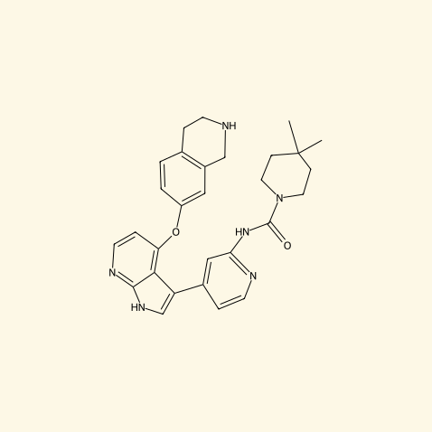 CC1(C)CCN(C(=O)Nc2cc(-c3c[nH]c4nccc(Oc5ccc6c(c5)CNCC6)c34)ccn2)CC1